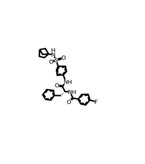 O=C(N[C@H](Cc1ccccc1)C(=O)Nc1ccc(S(=O)(=O)NC23CCC(C2)C3)cc1)c1ccc(F)cc1